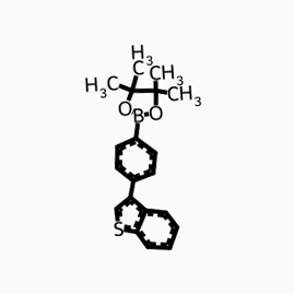 CC1(C)OB(c2ccc(-c3csc4ccccc34)cc2)OC1(C)C